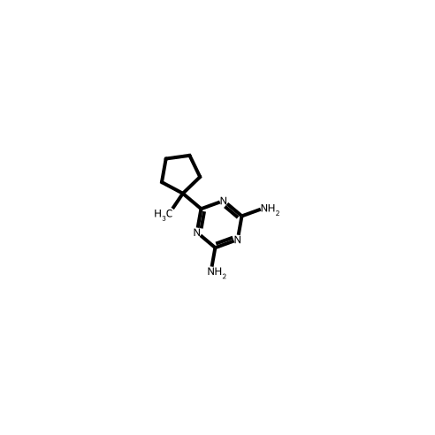 CC1(c2nc(N)nc(N)n2)CCCC1